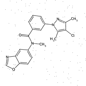 Cc1nn(-c2cccc(C(=O)N(C)c3ccc4ocnc4c3)c2)c(C)c1Cl